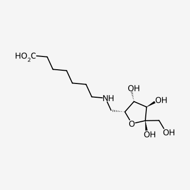 O=C(O)CCCCCCNC[C@H]1O[C@@](O)(CO)[C@H](O)[C@H]1O